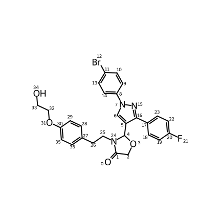 O=C1COC(c2cn(-c3ccc(Br)cc3)nc2-c2ccc(F)cc2)N1CCc1ccc(OCCO)cc1